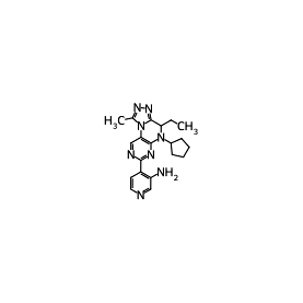 CCC1c2nnc(C)n2-c2cnc(-c3ccncc3N)nc2N1C1CCCC1